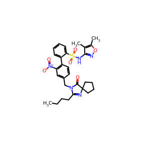 CCCCC1=NC2(CCCC2)C(=O)N1Cc1ccc(-c2ccccc2S(=O)(=O)Nc2noc(C)c2C)c([N+](=O)[O-])c1